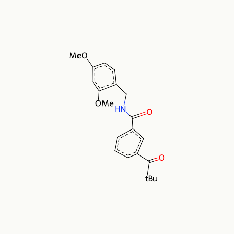 COc1ccc(CNC(=O)c2cccc(C(=O)C(C)(C)C)c2)c(OC)c1